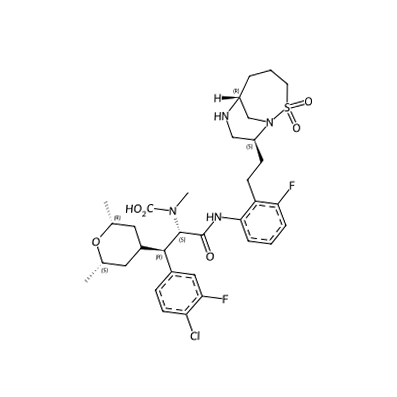 C[C@@H]1CC([C@H](c2ccc(Cl)c(F)c2)[C@@H](C(=O)Nc2cccc(F)c2CC[C@H]2CN[C@@H]3CCCS(=O)(=O)N2C3)N(C)C(=O)O)C[C@H](C)O1